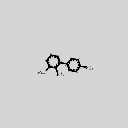 Nc1c(C(=O)O)cccc1-c1ccc([N+](=O)[O-])cc1